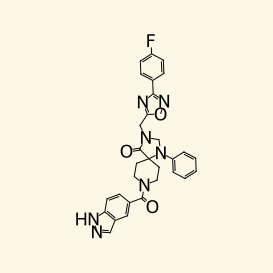 O=C(c1ccc2[nH]ncc2c1)N1CCC2(CC1)C(=O)N(Cc1nc(-c3ccc(F)cc3)no1)CN2c1ccccc1